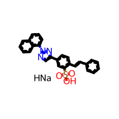 O=S(=O)(O)c1cc(-c2cnn(-c3cccc4ccccc34)n2)ccc1C=Cc1ccccc1.[NaH]